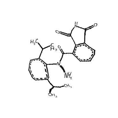 CC(C)c1cccc(C(C)C)c1N(N)C(=O)c1cccc2c1C(=O)NC2=O